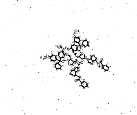 COc1ccc(C(OC[C@H]2O[C@@H](n3cnc4c(NC(=O)c5ccccc5)ncnc43)[C@H](O[PH](=O)O[C@@H]3[C@H](N=[N+]=[N-])[C@@H](COC(c4ccccc4)(c4ccc(OC)cc4)c4ccc(OC)cc4)O[C@H]3n3cnc4c(NC(=O)c5ccccc5)ncnc43)[C@@H]2N=[N+]=[N-])(c2ccccc2)c2ccc(OC)cc2)cc1